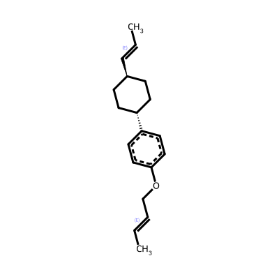 C/C=C/COc1ccc([C@H]2CC[C@H](/C=C/C)CC2)cc1